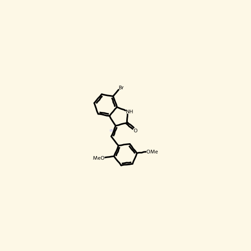 COc1ccc(OC)c(/C=C2\C(=O)Nc3c(Br)cccc32)c1